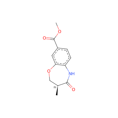 COC(=O)c1ccc2c(c1)OC[C@H](C)C(=O)N2